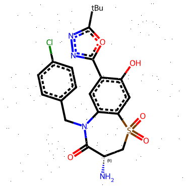 CC(C)(C)c1nnc(-c2cc3c(cc2O)S(=O)(=O)C[C@H](N)C(=O)N3Cc2ccc(Cl)cc2)o1